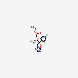 CCOC(=O)CSC(C)C(O)(Cn1cncn1)c1ccc(F)cc1F